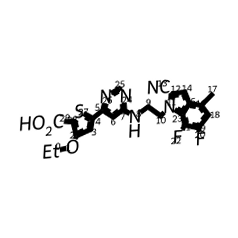 CCOc1cc(-c2cc(NCCn3c(C#N)cc4c(C)cc(F)c(F)c43)ncn2)sc1C(=O)O